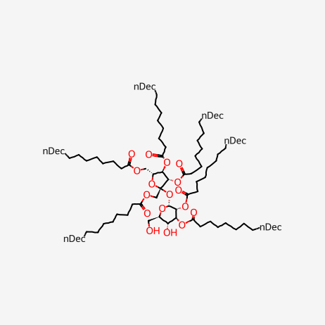 CCCCCCCCCCCCCCCCCC(=O)OC[C@H]1O[C@@](COC(=O)CCCCCCCCCCCCCCCCC)(O[C@H]2O[C@H](CO)[C@@H](O)[C@H](OC(=O)CCCCCCCCCCCCCCCCC)[C@H]2OC(=O)CCCCCCCCCCCCCCCCC)[C@@H](OC(=O)CCCCCCCCCCCCCCCCC)[C@@H]1OC(=O)CCCCCCCCCCCCCCCCC